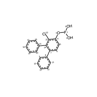 OP(O)Oc1ccc(-c2ccccc2)c(-c2ccccc2)c1Cl